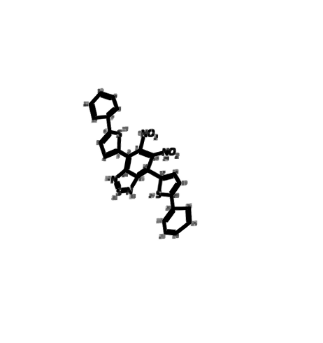 O=[N+]([O-])c1c(-c2ccc(-c3ccccc3)s2)c2c(c(-c3ccc(-c4ccccc4)s3)c1[N+](=O)[O-])N=S=N2